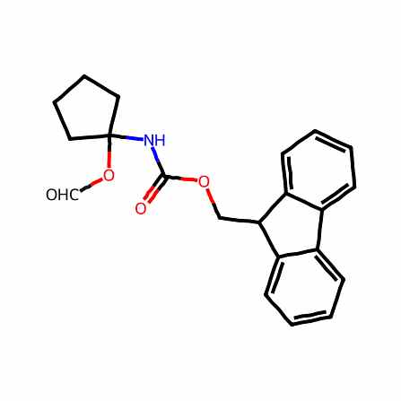 O=COC1(NC(=O)OCC2c3ccccc3-c3ccccc32)CCCC1